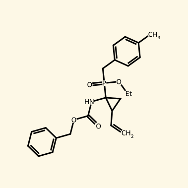 C=CC1CC1(NC(=O)OCc1ccccc1)P(=O)(Cc1ccc(C)cc1)OCC